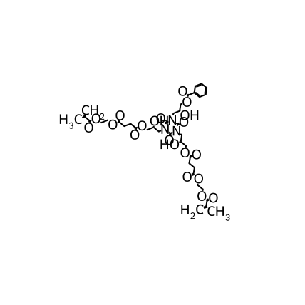 C=C(C)C(=O)OCCOC(=O)CCC(=O)OCC(O)Cn1c(=O)n(CC(O)COC(=O)CCC(=O)OCCOC(=O)C(=C)C)c(=O)n(CC(O)COC(=O)c2ccccc2)c1=O